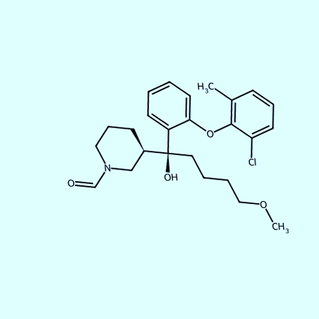 COCCCC[C@@](O)(c1ccccc1Oc1c(C)cccc1Cl)[C@@H]1CCCN(C=O)C1